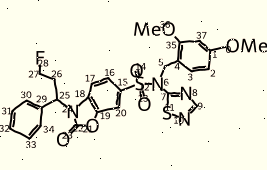 COc1ccc(CN(c2ncns2)S(=O)(=O)c2ccc3c(c2)oc(=O)n3C(CCF)c2ccccc2)c(OC)c1